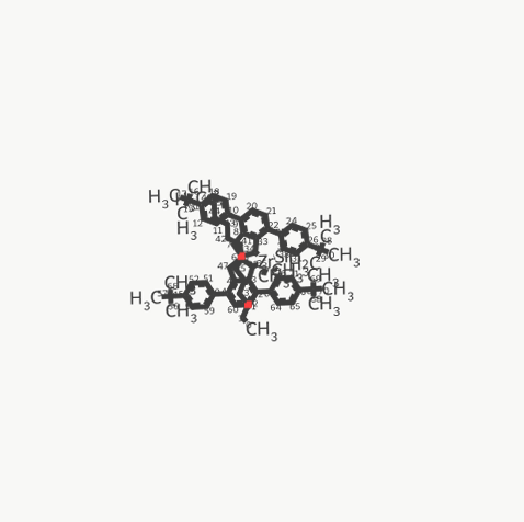 CCCCCCC1=Cc2c(-c3ccc(C(C)(C)C)cc3)ccc(-c3ccc(C(C)(C)C)cc3)c2[CH]1[Zr]([CH3])([CH3])(=[SiH2])[CH]1C(CCCCCC)=Cc2c(-c3ccc(C(C)(C)C)cc3)ccc(-c3ccc(C(C)(C)C)cc3)c21